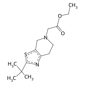 CCOC(=O)CN1CCc2nc(C(C)(C)C)sc2C1